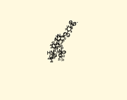 C[C@@H]1C[C@@H](OC(=O)c2ccc([N+](=O)[O-])cc2)c2ncnc(N3CC4(CCN(C(=O)OC(C)(C)C)CC4)c4c(CNC(=O)OC(C)(C)C)cccc43)c21